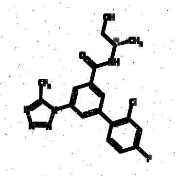 C[C@@H](CO)NC(=O)c1cc(-c2ccc(F)cc2Cl)cc(-n2nnnc2C(F)(F)F)c1